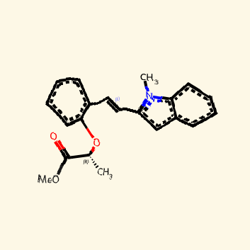 COC(=O)[C@@H](C)Oc1ccccc1/C=C/c1cc2ccccc2n1C